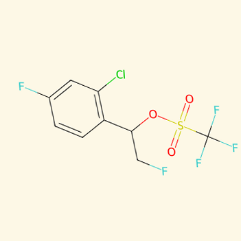 O=S(=O)(OC(CF)c1ccc(F)cc1Cl)C(F)(F)F